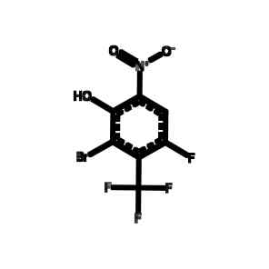 O=[N+]([O-])c1cc(F)c(C(F)(F)F)c(Br)c1O